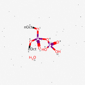 CCCCCCCCOP(=O)(OCCCCCCCC)OP(=O)(O)O.O